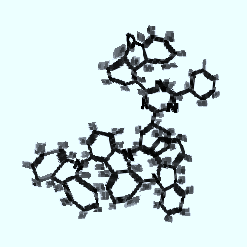 c1ccc(-c2nc(-c3cccc(-n4c5cccc(-n6c7ccccc7c7ccccc76)c5c5cccc(-n6c7ccccc7c7ccccc76)c54)c3)nc(-c3cccc4oc5ccccc5c34)n2)cc1